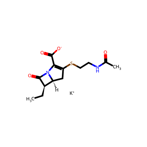 CC[C@H]1C(=O)N2C(C(=O)[O-])=C(SCCNC(C)=O)C[C@@H]12.[K+]